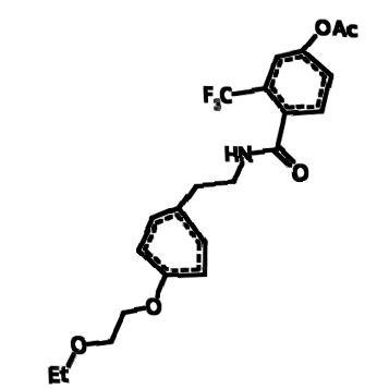 CCOCCOc1ccc(CCNC(=O)c2ccc(OC(C)=O)cc2C(F)(F)F)cc1